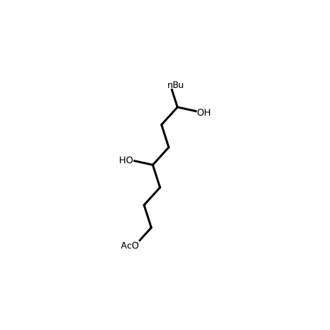 CCCCC(O)CCC(O)CCCOC(C)=O